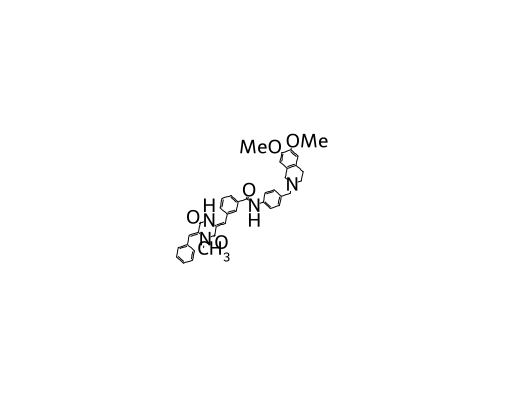 COc1cc2c(cc1OC)CN(Cc1ccc(NC(=O)c3cccc(C=c4[nH]c(=O)c(=Cc5ccccc5)n(C)c4=O)c3)cc1)CC2